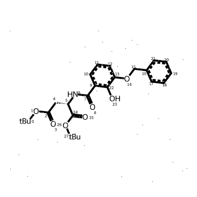 CC(C)(C)OC(=O)C[C@H](NC(=O)c1cccc(OCc2ccccc2)c1O)C(=O)OC(C)(C)C